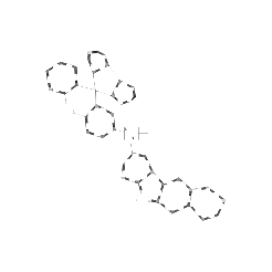 c1ccc2c(c1)Oc1ccc(Nc3ccc4oc5cc6ccccc6cc5c4c3)cc1C21c2ccccc2-c2ccccc21